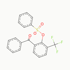 O=C(c1ccccc1)c1cccc(C(F)(F)F)c1OS(=O)(=O)c1ccccc1